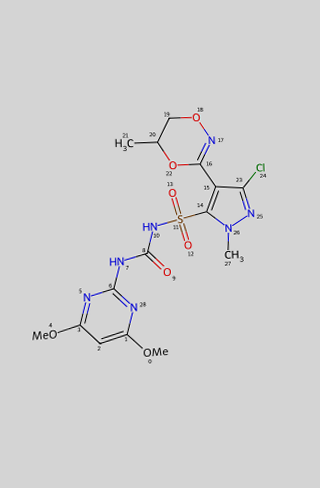 COc1cc(OC)nc(NC(=O)NS(=O)(=O)c2c(C3=NOCC(C)O3)c(Cl)nn2C)n1